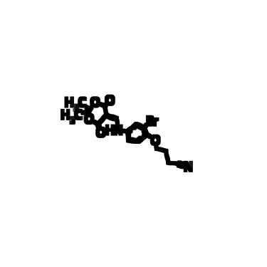 CC1(C)OC(=O)C(=CNc2ccc(OCCCC#N)c(Br)c2)C(=O)O1